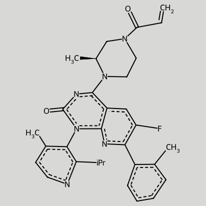 C=CC(=O)N1CCN(c2nc(=O)n(-c3c(C)ccnc3C(C)C)c3nc(-c4ccccc4C)c(F)cc23)[C@@H](C)C1